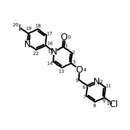 O=c1cc(OCc2ccc(Cl)cn2)ccn1-c1ccc(I)nc1